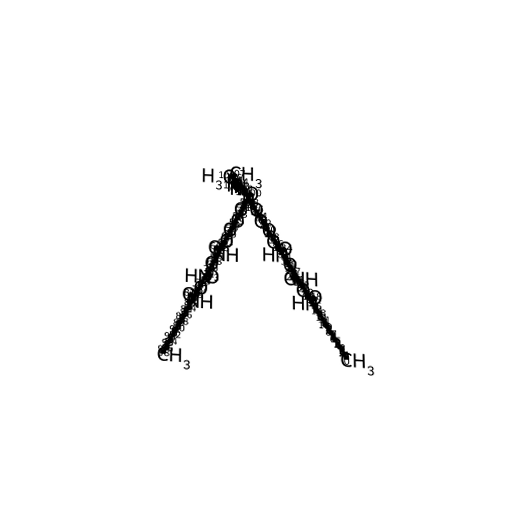 CCCCCCCCCCCCCCCCNC(=O)CCOCCNC(=O)CCOCCNC(=O)CCOCCOCCOCCOCCN(CCOCCOCCOCCOCCC(=O)NCCOCCC(=O)NCCOCCC(=O)NCCCCCCCCCCCCCCCC)C(=O)CCn1cc(C(C)C)nn1